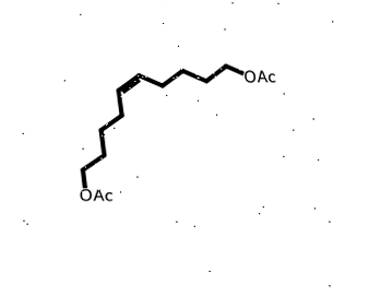 CC(=O)OCCCC/C=C\CCCCOC(C)=O